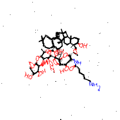 CC[C@H]1O[C@@H]2C(OC2(OC(=O)[C@]23CCC(C)(C)CC2C2=CC4(C)CC5C6(C)CCC(O)[C@](C)(C=O)C6CCC54C2(C)C[C@H]3O)[C@@H]2O[C@H](C)[C@H](O[C@@H]3OC[C@@H](O)C(O)C3O)C(O)C2O)C(O)[C@@H]1NC(=O)CCCCCN